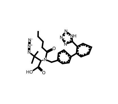 CCCCC(=O)N(Cc1ccc(-c2ccccc2-c2nnn[nH]2)cc1)[C@H](C(=O)O)C(C)(C)N=[N+]=[N-]